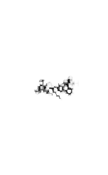 CCCCc1nc(C)n(-c2nc(OC)cc(OC)n2)c(=O)c1Cc1ccc(-c2ccccc2-c2noc(=O)[nH]2)cn1